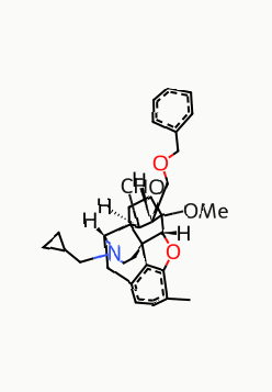 COC12CCC3([C@@H](C=O)[C@@H]1COCc1ccccc1)[C@H]1Cc4ccc(C)c5c4[C@@]3(CCN1CC1CC1)[C@H]2O5